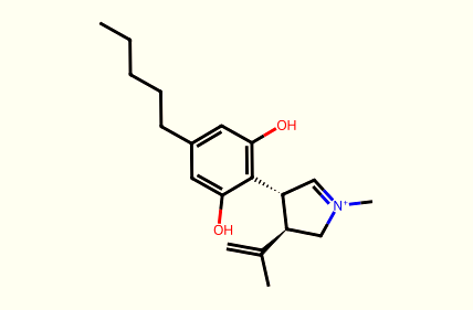 C=C(C)[C@@H]1C[N+](C)=C[C@H]1c1c(O)cc(CCCCC)cc1O